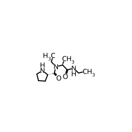 CCNC(=O)[C@H](C)N(CC)C(=O)[C@@H]1CCCN1